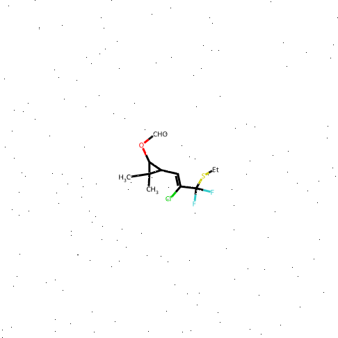 CCSC(F)(F)C(Cl)=CC1C(OC=O)C1(C)C